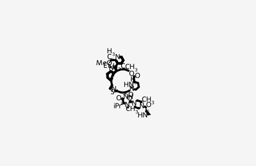 CCn1c(-c2cccnc2[C@H](C)OC)c2c3cc(ccc31)-c1csc(n1)C[C@H](NC(=O)[C@H](C(C)C)N(C)C(=O)N1CCN(C(=O)[C@H]3CN3)[C@H](C)C1)C(=O)N1CCC[C@H](N1)C(=O)OCC(C)(C)C2